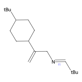 C=C(C/N=C/C(C)(C)C)C1CCC(C(C)(C)C)CC1